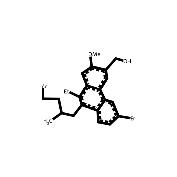 CCc1c(CC(C)CCC(C)=O)c2ccc(Br)cc2c2cc(CO)c(OC)cc12